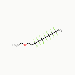 O=C(O)COCCC(F)(F)C(F)(F)C(F)(F)C(F)(F)C(F)(F)C(F)(F)C(F)(F)C(F)(F)F